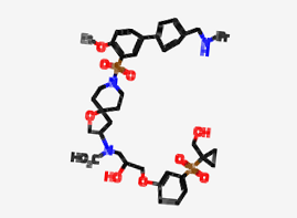 CCOc1ccc(-c2ccc(CNC(C)C)cc2)cc1S(=O)(=O)N1CCC2(CC1)CC(N(CC(O)COc1cccc(S(=O)(=O)C3(CO)CC3)c1)C(=O)O)CO2